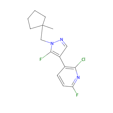 CC1(Cn2ncc(-c3ccc(F)nc3Cl)c2F)CCCC1